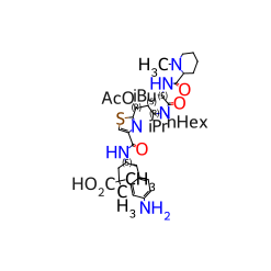 CCCCCCN(C(=O)[C@@H](NC(=O)C1CCCCN1C)[C@@H](C)CC)[C@H](C[C@@H](OC(C)=O)c1nc(C(=O)N[C@@H](Cc2ccc(N)cc2)CC(C)(C)C(=O)O)cs1)C(C)C